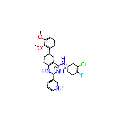 COC1=CCCC(C2CCC3=C(C2)[C@@H](N[C@H]2CCC(F)=C(Cl)C2)NC(C2=CC=CNC2)N3)=C1OC